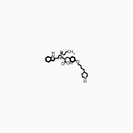 CCCP(=O)(CCc1cc2ccccc2[nH]1)NC(Cc1ccc(OCCCCC2CCNCC2)cc1)C(=O)O